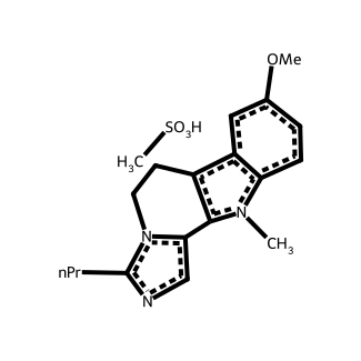 CCCc1ncc2n1CCc1c-2n(C)c2ccc(OC)cc12.CS(=O)(=O)O